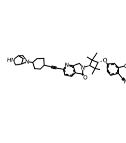 CC1(C)[C@H](Oc2ccc(C#N)c(Cl)c2)C(C)(C)[C@H]1N1Cc2nc(C#CC3CCC(N4CC5CC4CN5)CC3)ccc2C1=O